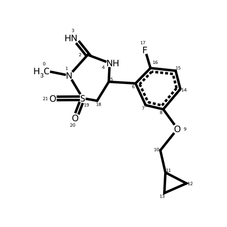 CN1C(=N)NC(c2cc(OCC3CC3)ccc2F)CS1(=O)=O